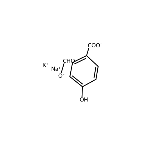 O=C([O-])c1ccc(O)cc1.O=C[O-].[K+].[Na+]